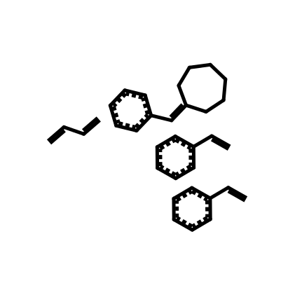 C(=C1CCCCCC1)c1ccccc1.C=CC=C.C=Cc1ccccc1.C=Cc1ccccc1